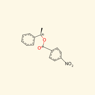 C[C@@H](OC(=O)c1ccc([N+](=O)[O-])cc1)c1ccccc1